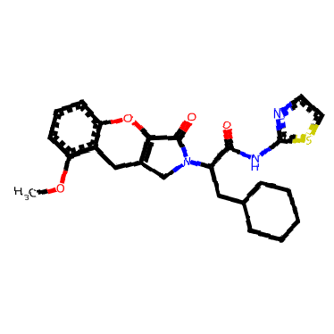 COc1cccc2c1CC1=C(O2)C(=O)N(C(CC2CCCCC2)C(=O)Nc2nccs2)C1